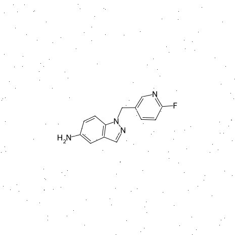 Nc1ccc2c(cnn2Cc2ccc(F)nc2)c1